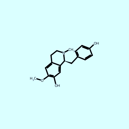 COc1cc2c(cc1O)[C@H](Cc1ccc(O)cc1)N(C)CC2